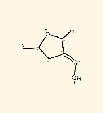 CC1C/C(=N\O)C(C)O1